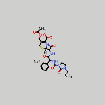 CCN1CCN(C(=O)NC(C(=O)NC2C(=O)N3C(C(=O)[O-])=C(COC(C)=O)CS[C@@H]23)c2ccccc2)C1=O.[Na+]